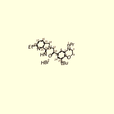 Br.CCCN1CCOc2c1cc(C(=O)CN1Cc3ccc(CC)nc3C1=N)cc2C(C)(C)C